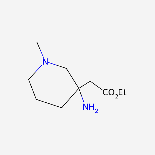 CCOC(=O)CC1(N)CCCN(C)C1